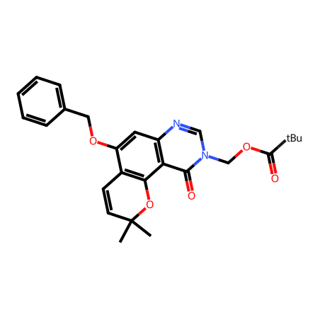 CC1(C)C=Cc2c(OCc3ccccc3)cc3ncn(COC(=O)C(C)(C)C)c(=O)c3c2O1